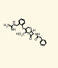 N=C(N)NCc1ccccc1SC1=C(C(=O)O)N2C(=O)[C@@H](NC(=O)Cc3ccccc3)[C@@H]2SC1